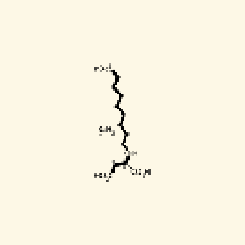 CCCCCCCCCCCCCCCCCCN[C@@H](CC(=O)O)C(=O)O.[BaH2]